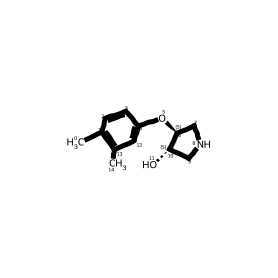 Cc1ccc(O[C@H]2CNC[C@@H]2O)cc1C